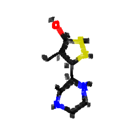 Cc1c(-c2cnccn2)ssc1=O